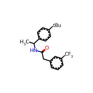 CC(NC(=O)Cc1cccc(C(F)(F)F)c1)c1ccc(C(C)(C)C)cc1